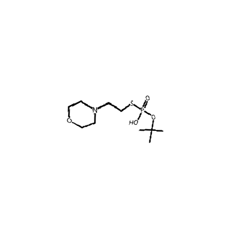 CC(C)(C)OP(=O)(O)SCCN1CCOCC1